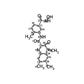 Cc1cc2nc(C(=O)Nc3cc(C(=O)NO)ccc3C)c(=O)n(C)c2cc1C